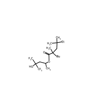 CCC(C)C(C)(CC(C)(C)CC)C(=O)OC(C)CC(O)(C(F)(F)F)C(F)(F)F